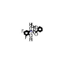 C/C(=N\NC(=O)c1ccccc1O)c1cc(F)cc(F)c1O